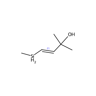 C[SiH2]/C=C/C(C)(C)O